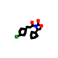 O=C(C=Cc1ccc(Cl)cc1)N1C(=O)OC[C@H]1c1ccccc1